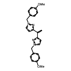 C=C(c1ccn(Cc2ccc(OC)cc2)n1)c1ccn(Cc2ccc(OC)cc2)n1